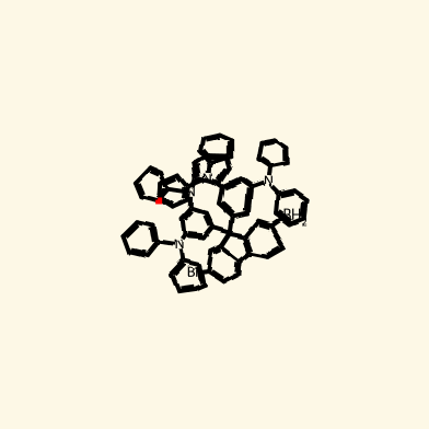 Bc1ccc2c(c1)C(c1cc(N(c3ccccc3)c3ccccc3)cc(N(c3ccccc3)c3ccccc3)c1)(c1cc(N(c3ccccc3)c3ccccc3)cc(N(c3ccccc3)c3ccccc3)c1)c1cc(Br)ccc1-2